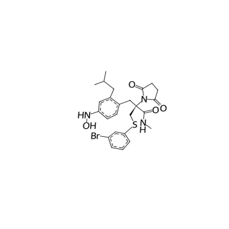 CNC(=O)[C@](CSc1cccc(Br)c1)(Cc1ccc(NO)cc1CC(C)C)N1C(=O)CCC1=O